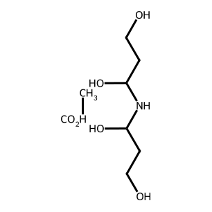 CC(=O)O.OCCC(O)NC(O)CCO